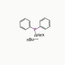 CCCCC.CCCCCCP(c1ccccc1)c1ccccc1